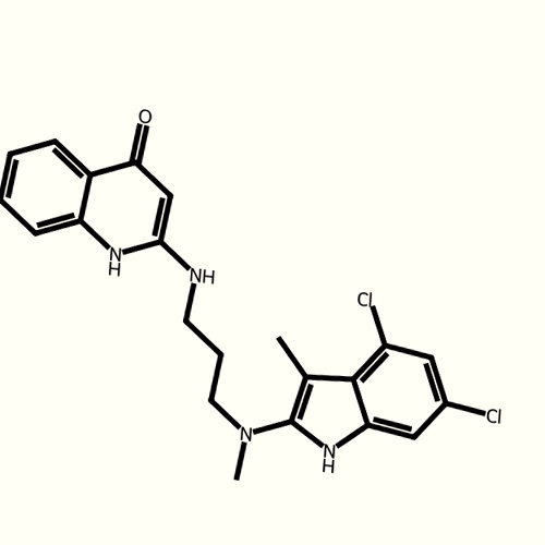 Cc1c(N(C)CCCNc2cc(=O)c3ccccc3[nH]2)[nH]c2cc(Cl)cc(Cl)c12